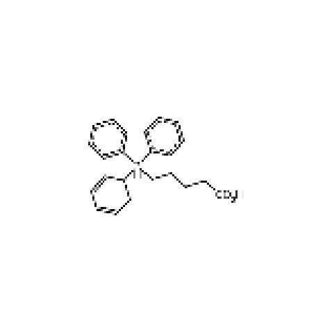 O=C(O)CCCC[PH](c1ccccc1)(c1ccccc1)C1C=CC=CC1